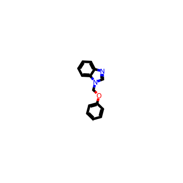 [c]1ccc(OCn2cnc3ccccc32)cc1